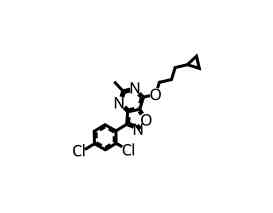 Cc1nc(OCCCC2CC2)c2onc(-c3ccc(Cl)cc3Cl)c2n1